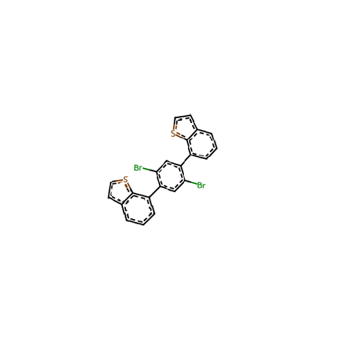 Brc1cc(-c2cccc3ccsc23)c(Br)cc1-c1cccc2ccsc12